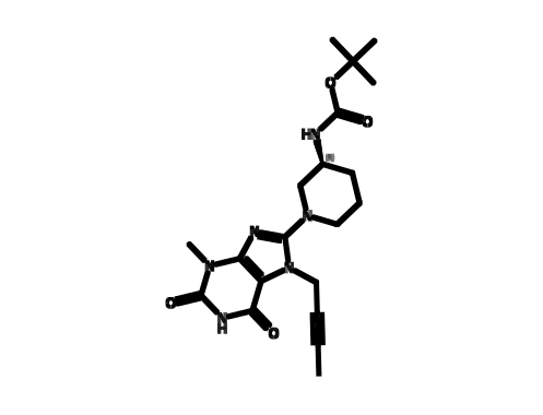 CC#CCn1c(N2CCC[C@H](NC(=O)OC(C)(C)C)C2)nc2c1c(=O)[nH]c(=O)n2C